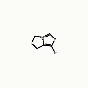 [O-]c1oc[n+]2c1CSC2